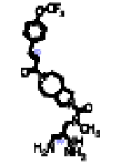 CN(C/C(=C/N)NN)C(=O)N1CC2CCN(C(=O)/C=C/c3ccc(OC(F)(F)F)cc3)CCC2C1